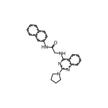 O=C(CNc1nc(N2CCCC2)nc2ccccc12)Nc1ccc2ccccc2c1